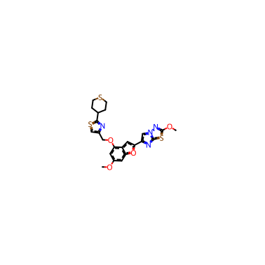 COc1cc(OCc2csc(C3CCSCC3)n2)c2cc(-c3cn4nc(OC)sc4n3)oc2c1